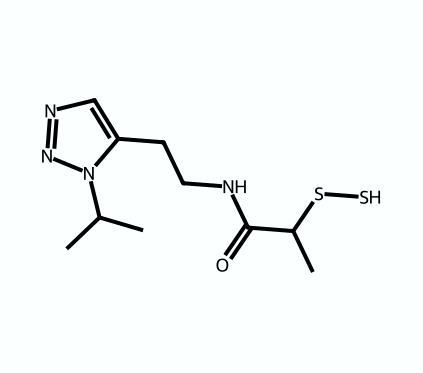 CC(SS)C(=O)NCCc1cnnn1C(C)C